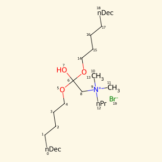 CCCCCCCCCCCCCCOC(O)(C[N+](C)(C)CCC)OCCCCCCCCCCCCCC.[Br-]